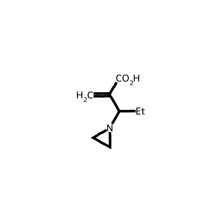 C=C(C(=O)O)C(CC)N1CC1